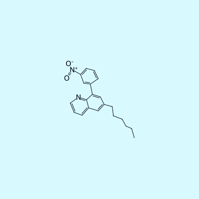 CCCCCCc1cc(-c2cccc([N+](=O)[O-])c2)c2ncccc2c1